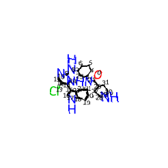 O=C(N[C@H]1CCC[C@@H](Nc2ncc(Cl)c(-c3c[nH]c4ccccc34)n2)C1)C1CCNCC1